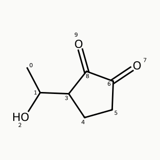 CC(O)C1CCC(=O)C1=O